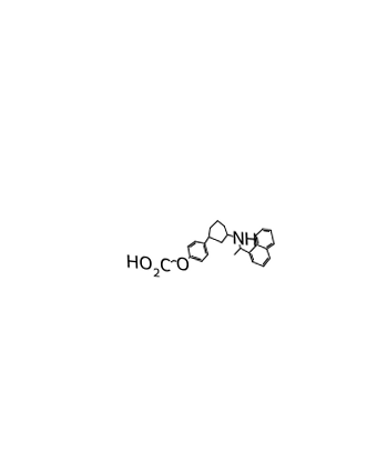 CC(NC1CCCC(c2ccc(OCC(=O)O)cc2)C1)c1cccc2ccccc12